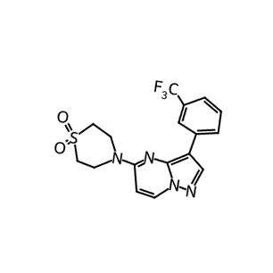 O=S1(=O)CCN(c2ccn3ncc(-c4cccc(C(F)(F)F)c4)c3n2)CC1